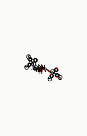 COc1ccc(C(OCC#CCNc2ncnc3c2ncn3[C@H]2C[CH][C@H](COC(c3ccccc3)(c3ccc(OC)cc3)c3ccc(OC)cc3)O2)(c2ccccc2)c2ccc(OC)cc2)cc1